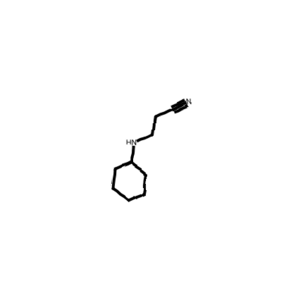 N#CCCNC1CCCCC1